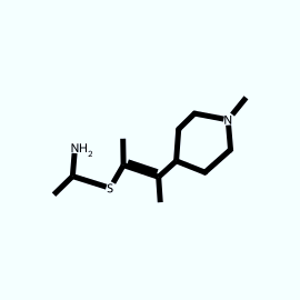 C/C(SC(C)N)=C(/C)C1CCN(C)CC1